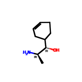 C[C@@H](N)[C@@H](O)C1CC=CCC1